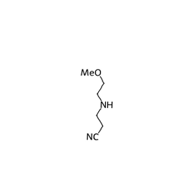 COCCNCCC#N